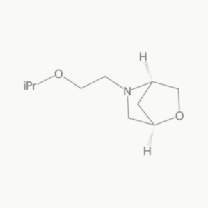 CC(C)OCCN1C[C@H]2C[C@@H]1CO2